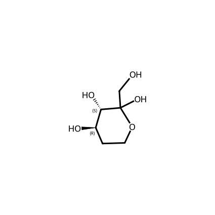 OCC1(O)OCC[C@@H](O)[C@@H]1O